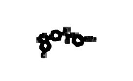 CSc1cccc(NC(=O)N(S)C2CCN(c3ncnc4cc(Cl)ccc34)CC2)c1